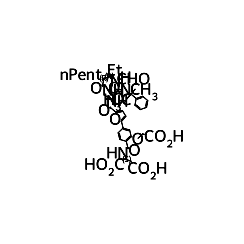 CCCCC[C@@H](C(=O)NCNC(=O)c1ccc(-c2ccc(C(=O)N[C@@H](CC(=O)O)C(=O)O)c(OCC(=O)O)c2)o1)[C@@H](CC)N(C=O)OC(=O)NC(C)(C)c1ccccc1